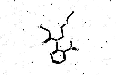 CCOCCN(C(=O)CCl)c1ncccc1[N+](=O)[O-]